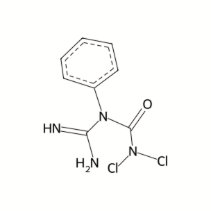 N=C(N)N(C(=O)N(Cl)Cl)c1ccccc1